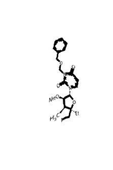 CC[C@@]1(CI)O[C@@H](n2ccc(=O)n(COCc3ccccc3)c2=O)[C@H](OC)[C@@H]1C